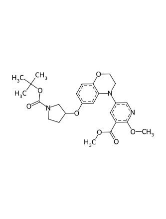 COC(=O)c1cc(N2CCOc3ccc(OC4CCN(C(=O)OC(C)(C)C)C4)cc32)cnc1OC